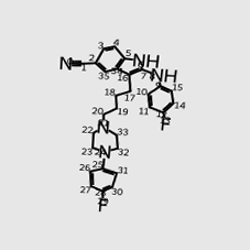 N#Cc1ccc2[nH]c(Nc3ccc(F)cc3)c(CCCCN3CCN(c4ccc(F)cc4)CC3)c2c1